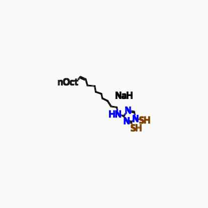 CCCCCCCC/C=C\CCCCCCCCNC1N=CN(S)C(S)=N1.[NaH]